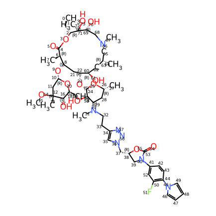 CC[C@H]1OC(=O)[C@H](C)[C@@H](O[C@H]2C[C@@](C)(OC)[C@@H](O)[C@H](C)O2)C[C@@H](O[C@@H]2O[C@H](C)C[C@H](N(C)CCc3cn(C[C@H]4CN(c5ccc(-n6cccc6)c(F)c5)C(=O)O4)nn3)[C@H]2O)[C@H](O)C[C@@H](C)CN(C)C[C@@H](O)[C@]1(C)O